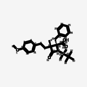 COc1ccc(CC[C@@]2(C)C(=O)N([Si](C)(C)C(C)(C)C)[C@]2(Cc2ccccc2)C(=O)O)cc1